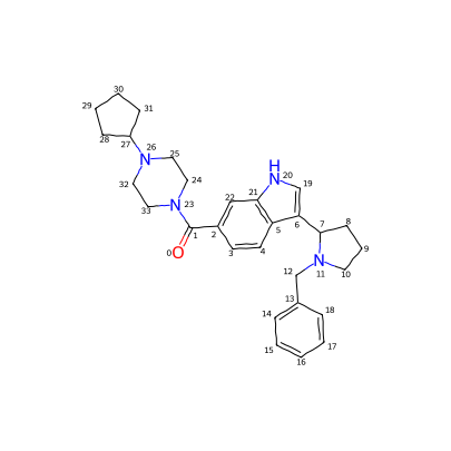 O=C(c1ccc2c(C3CCCN3Cc3ccccc3)c[nH]c2c1)N1CCN(C2CCCC2)CC1